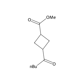 CCCCC(=O)C1CC(C(=O)OC)C1